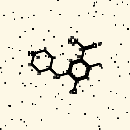 Cc1cc(Cl)c(OC2CCNCC2)cc1C(N)=O